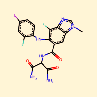 Cn1cnc2c(F)c(Nc3ccc(I)cc3F)c(C(=O)NC(C(N)=O)C(N)=O)cc21